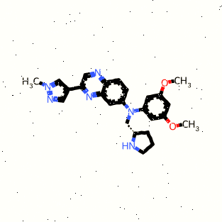 COc1cc(OC)cc(N(C[C@@H]2CCCN2)c2ccc3ncc(-c4cnn(C)c4)nc3c2)c1